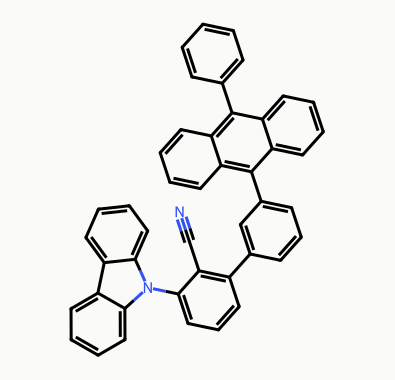 N#Cc1c(-c2cccc(-c3c4ccccc4c(-c4ccccc4)c4ccccc34)c2)cccc1-n1c2ccccc2c2ccccc21